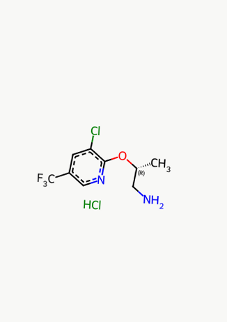 C[C@H](CN)Oc1ncc(C(F)(F)F)cc1Cl.Cl